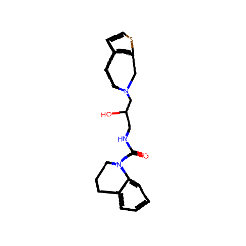 O=C(NCC(O)CN1CCc2ccsc2C1)N1CCCc2ccccc21